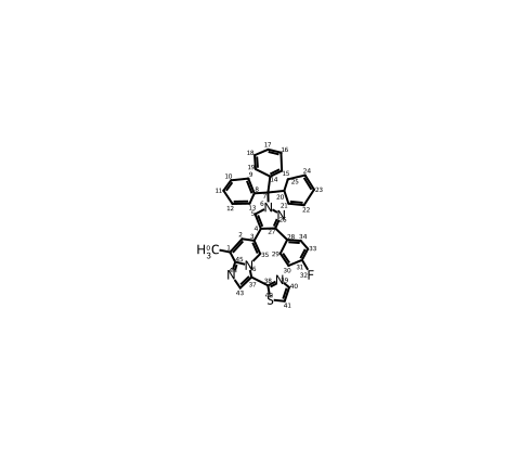 Cc1cc(-c2cn(C(c3ccccc3)(c3ccccc3)C3C=CC=CC3)nc2-c2ccc(F)cc2)cn2c(-c3nccs3)cnc12